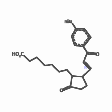 CCCCc1ccc(C(=O)/C=C/C2CCC(=O)C2CCCCCCC(=O)O)cc1